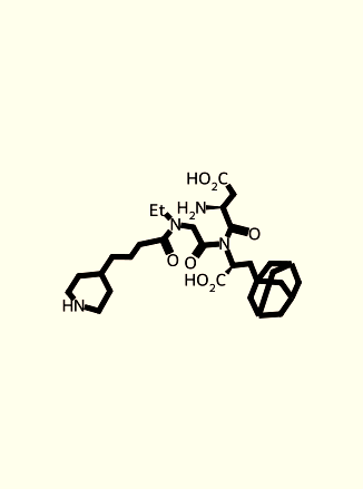 CCN(CC(=O)N(C(=O)[C@@H](N)CC(=O)O)[C@@H](CC12CC3CC(CC(C3)C1)C2)C(=O)O)C(=O)CCCC1CCNCC1